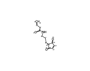 C=CCC(=O)NCCCN1C(=O)C=CC1=O